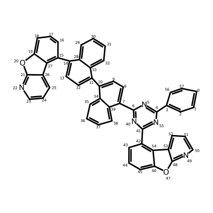 c1ccc(-c2nc(-c3ccc(-c4ccc(-c5cccc6oc7ncccc7c56)c5ccccc45)c4ccccc34)nc(-c3cccc4oc5ncccc5c34)n2)cc1